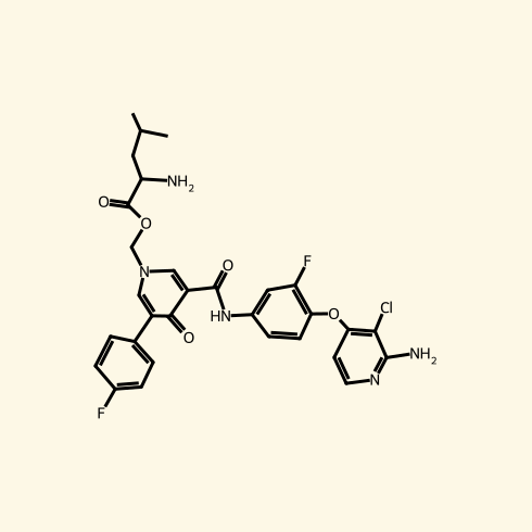 CC(C)CC(N)C(=O)OCn1cc(C(=O)Nc2ccc(Oc3ccnc(N)c3Cl)c(F)c2)c(=O)c(-c2ccc(F)cc2)c1